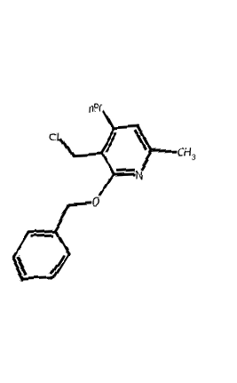 CCCc1cc(C)nc(OCc2ccccc2)c1CCl